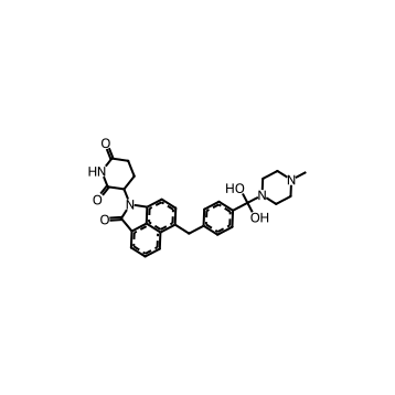 CN1CCN(C(O)(O)c2ccc(Cc3ccc4c5c(cccc35)C(=O)N4C3CCC(=O)NC3=O)cc2)CC1